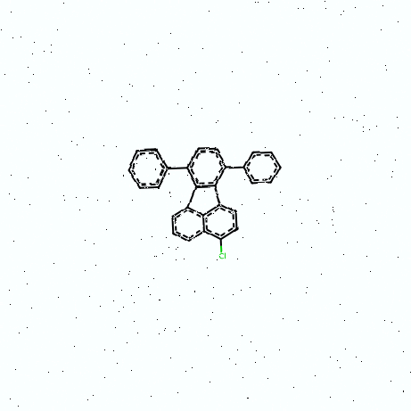 Clc1ccc2c3c(cccc13)-c1c(-c3ccccc3)ccc(-c3ccccc3)c1-2